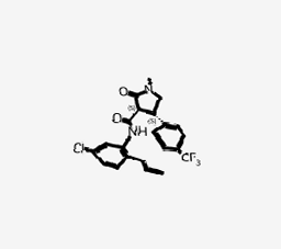 C=CCc1ccc(Cl)cc1NC(=O)[C@H]1C(=O)N(C)C[C@@H]1c1ccc(C(F)(F)F)cc1